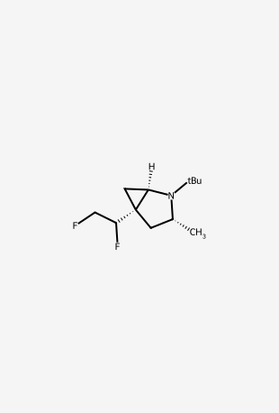 C[C@@H]1C[C@@]2(C(F)CF)C[C@H]2N1C(C)(C)C